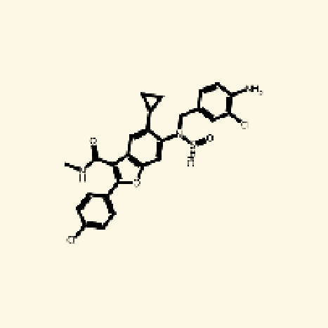 CNC(=O)c1c(-c2ccc(Cl)cc2)oc2cc(N(Cc3ccc(N)c(Cl)c3)[SH](=O)=O)c(C3CC3)cc12